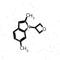 Cc1ccc2cc(C)n(C3COC3)c2c1